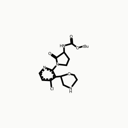 CC(C)(C)OC(=O)NC1CCN(c2nccc(Cl)c2C2CNCCO2)C1=O